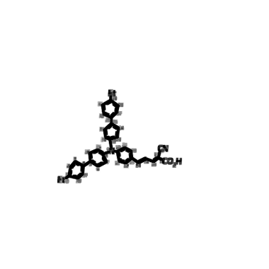 CCc1ccc(-c2ccc(N(c3ccc(/C=C/C=C(\C#N)C(=O)O)cc3)c3ccc(-c4ccc(CC)cc4)cc3)cc2)cc1